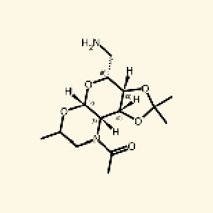 CC(=O)N1CC(C)O[C@@H]2O[C@H](CN)[C@@H]3OC(C)(C)O[C@@H]3[C@@H]21